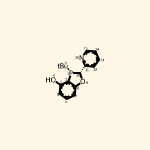 CC(C)(C)[P@]1c2c(O)cccc2O[C@H]1c1ccccn1